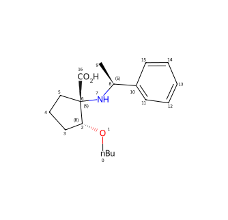 CCCCO[C@@H]1CCC[C@@]1(N[C@@H](C)c1ccccc1)C(=O)O